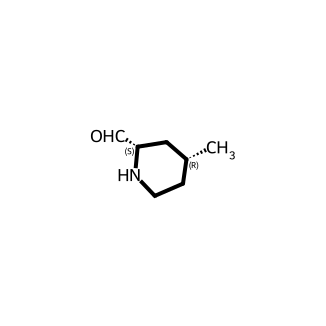 C[C@@H]1CCN[C@H](C=O)C1